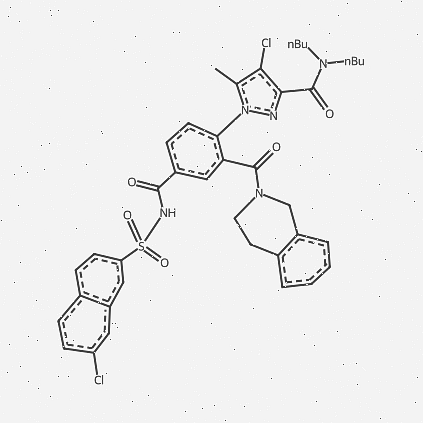 CCCCN(CCCC)C(=O)c1nn(-c2ccc(C(=O)NS(=O)(=O)c3ccc4ccc(Cl)cc4c3)cc2C(=O)N2CCc3ccccc3C2)c(C)c1Cl